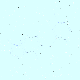 Cn1ccc2c(O)c(Cc3ccc[n+](C)c3)ccc21.[Cl-]